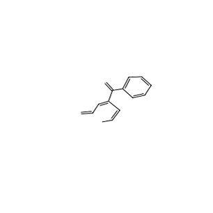 C=C/C=C(\C=C/C)C(=C)c1ccccc1